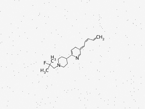 C=C/C=C\C=C1\C=NC(C2CCN(CC(C)(C)F)CC2)=CC1